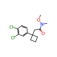 CON(C)C(=O)CC1(c2ccc(Cl)c(Cl)c2)CCC1